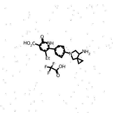 CCc1cc(C(=O)O)c(=O)[nH]c1-c1ccc(N2CC(N)C3(CC3)C2)cc1.O=C(O)C(F)(F)F